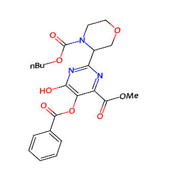 CCCCOC(=O)N1CCOCC1c1nc(O)c(OC(=O)c2ccccc2)c(C(=O)OC)n1